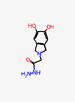 NNC(=O)CN1Cc2cc(O)c(O)cc2C1